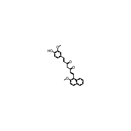 COc1cc(/C=C/C(=O)CC(=O)/C=C/c2c(OC)ccc3ccccc23)ccc1O